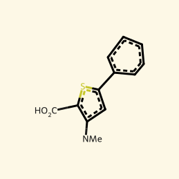 CNc1cc(-c2ccccc2)sc1C(=O)O